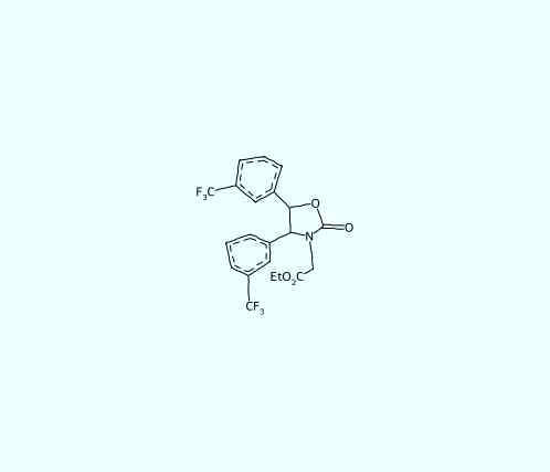 CCOC(=O)CN1C(=O)OC(c2cccc(C(F)(F)F)c2)C1c1cccc(C(F)(F)F)c1